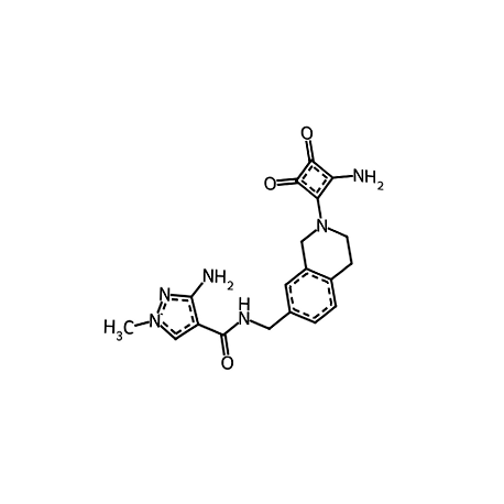 Cn1cc(C(=O)NCc2ccc3c(c2)CN(c2c(N)c(=O)c2=O)CC3)c(N)n1